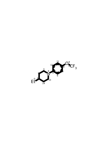 CCC1CCN(c2ccc(OC(F)(F)F)cc2)CC1